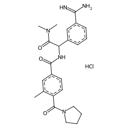 Cc1cc(C(=O)NC(C(=O)N(C)C)c2cccc(C(=N)N)c2)ccc1C(=O)N1CCCC1.Cl